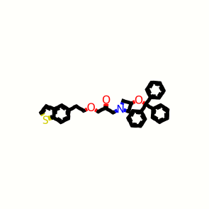 O=C(COCCc1ccc2sccc2c1)CN1CC(OC(c2ccccc2)(c2ccccc2)c2ccccc2)C1